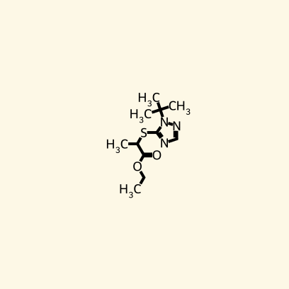 CCOC(=O)C(C)Sc1ncnn1C(C)(C)C